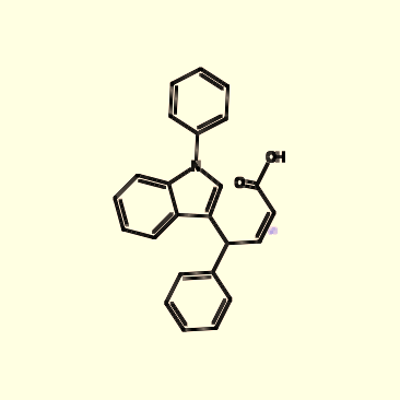 O=C(O)/C=C\C(c1ccccc1)c1cn(-c2ccccc2)c2ccccc12